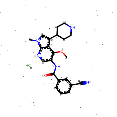 COc1c(NC(=O)c2cccc(C#N)c2)cnc2c1c(C1CCNCC1)cn2C.Cl